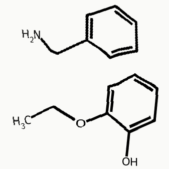 CCOc1ccccc1O.NCc1ccccc1